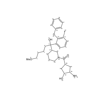 COCCCCC(O)(c1cccc(F)c1Oc1ccccc1)C1CCCN(C(=O)C2CC(N)C(O)C2)C1